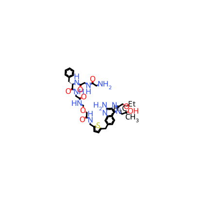 CCOCc1nc2c(N)nc3cc(Cc4ccc(CNC(=O)COCNC(=O)CNC(=O)[C@H](Cc5ccccc5)NC(=O)CNC(=O)CN)s4)ccc3c2n1CC(C)(C)O